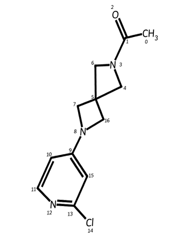 CC(=O)N1CC2(C1)CN(c1ccnc(Cl)c1)C2